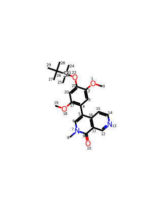 COc1cc(-c2cn(C)c(=O)c3cnccc23)c(OC)cc1O[Si](C)(C)C(C)(C)C